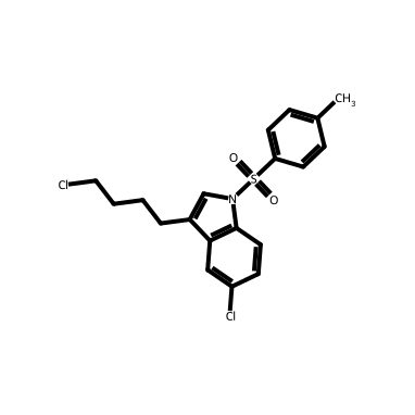 Cc1ccc(S(=O)(=O)n2cc(CCCCCl)c3cc(Cl)ccc32)cc1